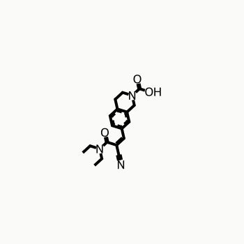 CCN(CC)C(=O)C(C#N)=Cc1ccc2c(c1)CN(C(=O)O)CC2